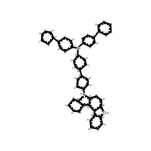 c1ccc(-c2ccc(N(c3ccc(-c4ccccc4)cc3)c3ccc(-c4ccc(-n5c6ccccc6c6c7c(ccc65)oc5ccccc57)cc4)cc3)cc2)cc1